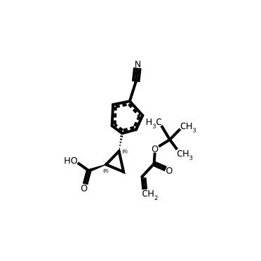 C=CC(=O)OC(C)(C)C.N#Cc1ccc([C@@H]2C[C@H]2C(=O)O)cc1